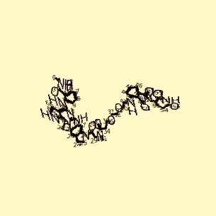 CNC(=O)c1c(F)cccc1Nc1nc(Nc2cc3c(cc2OC)CCN3C(=O)CN(C)C(=O)CCOCCOCCNc2cccc3c2C(=O)N(C2CCC(=O)NC2=O)C3=O)nc2[nH]ccc12